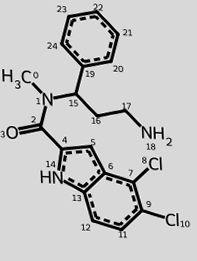 CN(C(=O)c1cc2c(Cl)c(Cl)ccc2[nH]1)C(CCN)c1ccccc1